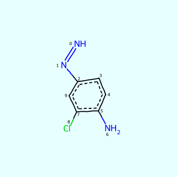 N=Nc1ccc(N)c(Cl)c1